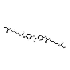 C=CC(=O)OCCCCOC(=O)Oc1ccc(OC(=O)c2ccc(OC(=O)OCCCCOC(=O)C=C)cc2)cc1